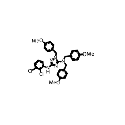 COc1ccc(CN(Cc2ccc(OC)cc2)c2nc(Nc3cccc(Cl)c3Cl)nn2Cc2ccc(OC)cc2)cc1